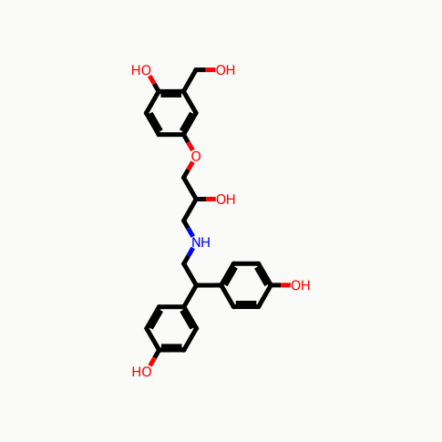 OCc1cc(OCC(O)CNCC(c2ccc(O)cc2)c2ccc(O)cc2)ccc1O